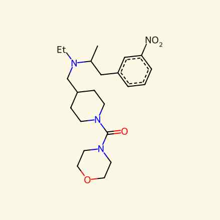 CCN(CC1CCN(C(=O)N2CCOCC2)CC1)C(C)Cc1cccc([N+](=O)[O-])c1